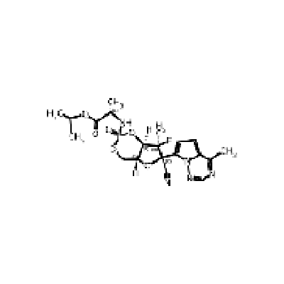 Cc1ncnn2c([C@]3(C#N)O[C@@H]4COP(=O)(N[C@@H](C)C(=O)OC(C)C)O[C@H]4[C@@]3(C)F)ccc12